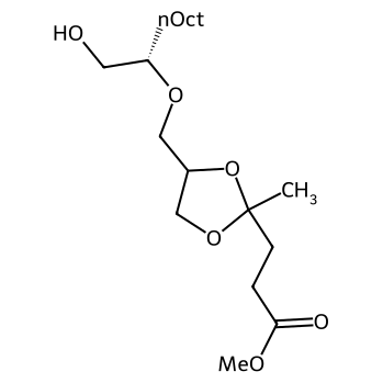 CCCCCCCC[C@@H](CO)OCC1COC(C)(CCC(=O)OC)O1